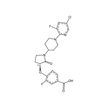 O=C(O)c1ccc(O[C@H]2CCN(C3CCN(c4ncc(Cl)cc4F)CC3)C2=O)c(F)c1